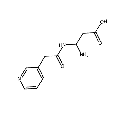 NC(CC(=O)O)NC(=O)Cc1cccnc1